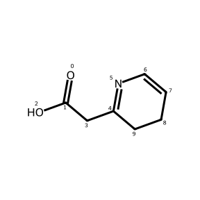 O=C(O)CC1=NC=CCC1